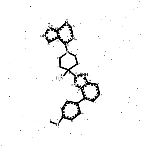 COc1ccc(-c2cccc3[nH]c(C4(N)CCN(c5ncnc6[nH]ncc56)CC4)nc23)cc1